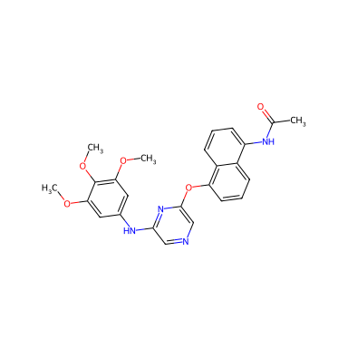 COc1cc(Nc2cncc(Oc3cccc4c(NC(C)=O)cccc34)n2)cc(OC)c1OC